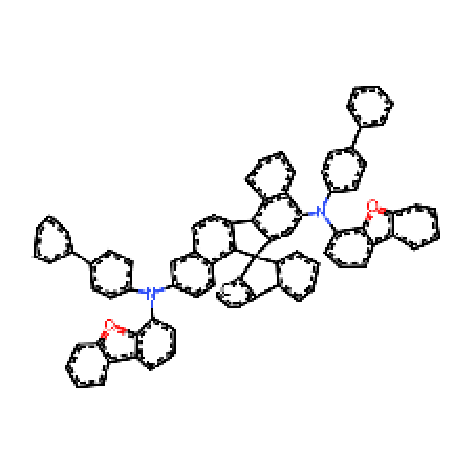 c1ccc(-c2ccc(N(c3ccc4c5c(ccc4c3)-c3c(cc(N(c4ccc(-c6ccccc6)cc4)c4cccc6c4oc4ccccc46)c4ccccc34)C53c4ccccc4-c4ccccc43)c3cccc4c3oc3ccccc34)cc2)cc1